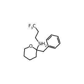 FC(F)(F)CC[SiH2]C1(Cc2ccccc2)CCCCO1